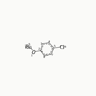 C[CH]C(C)Oc1ccc(Cl)cc1